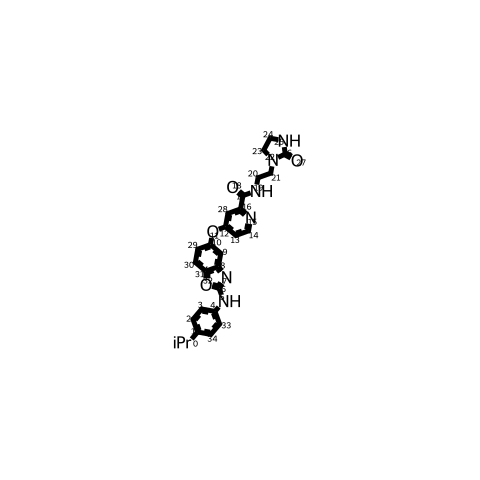 CC(C)c1ccc(Nc2nc3cc(Oc4ccnc(C(=O)NCCN5CCNC5=O)c4)ccc3o2)cc1